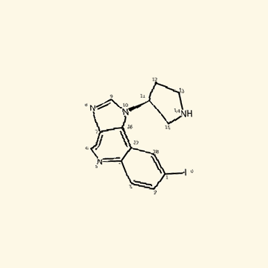 Ic1ccc2ncc3ncn([C@H]4CCNC4)c3c2c1